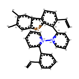 C=Cc1ccccc1-c1cccc[n+]1-[n+]1ccccc1-c1c(C=C)ccc2c1sc1cc(C)c(C)cc12